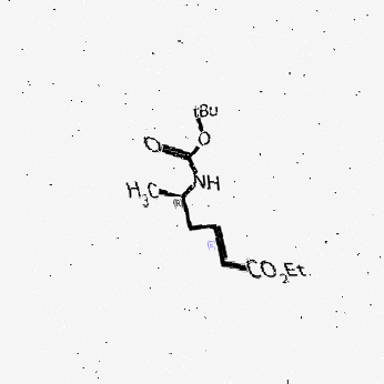 CCOC(=O)/C=C/C[C@@H](C)NC(=O)OC(C)(C)C